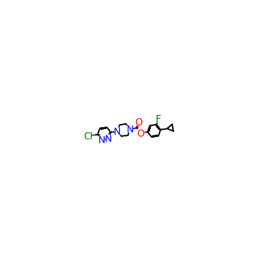 O=C(Oc1ccc(C2CC2)c(F)c1)N1CCN(c2ccc(Cl)nn2)CC1